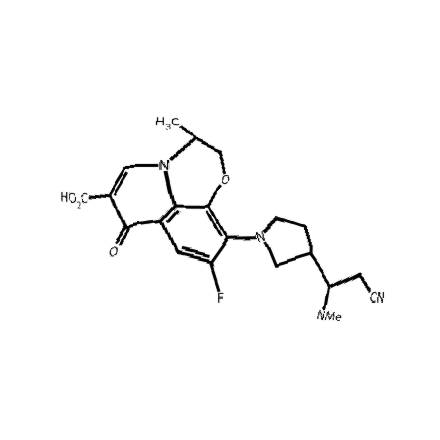 CNC(CC#N)C1CCN(c2c(F)cc3c(=O)c(C(=O)O)cn4c3c2OCC4C)C1